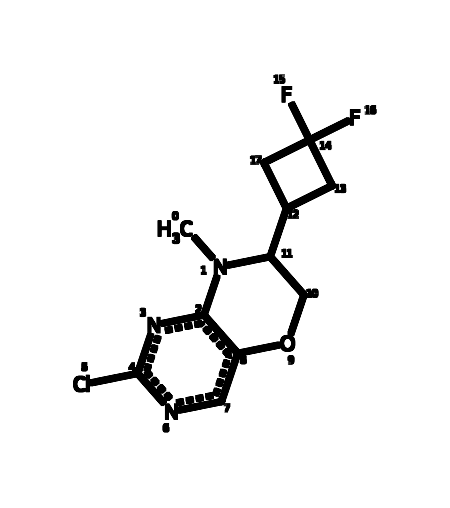 CN1c2nc(Cl)ncc2OCC1C1CC(F)(F)C1